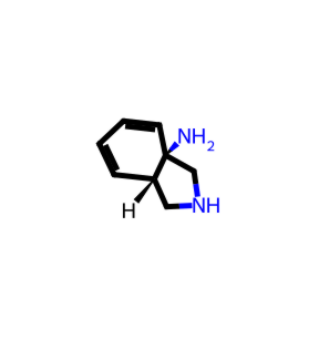 N[C@]12C=CC=C[C@H]1CNC2